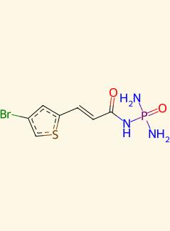 NP(N)(=O)NC(=O)C=Cc1cc(Br)cs1